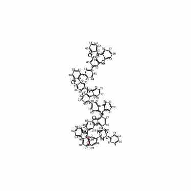 c1ccc(-c2nc(-c3ccccc3)nc(-c3ccc(-n4c5ccccc5c5cc(-c6ccc7c8cc9oc%10cccc(-c%11cccc(-c%12cc%13c%14c(c%12)Oc%12ccccc%12B%14c%12ccccc%12O%13)c%11)c%10c9cc8n8c9ccccc9c6c78)ccc54)c4oc5cc6c7cccc8c9ccccc9n(c6cc5c34)c87)n2)cc1